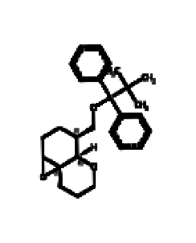 CC(C)(C)[Si](OC[C@@H]1CCC2O[C@]23CCCO[C@H]13)(c1ccccc1)c1ccccc1